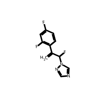 C=C(c1ccc(F)cc1F)C(F)n1cncn1